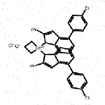 CCc1ccc(-c2cccc3c2C=C(C(C)C)[CH]3[Hf+2]2([CH]3C(C(C)C)=Cc4c(-c5ccc(CC)cc5)cccc43)[CH2]C[CH2]2)cc1.[Cl-].[Cl-]